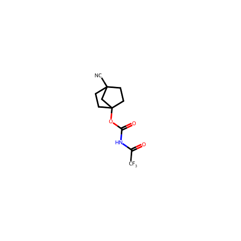 N#CC12CCC(OC(=O)NC(=O)C(F)(F)F)(CC1)C2